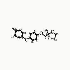 CC(C)C1(COc2ccc(Oc3ccc(F)cc3)cc2)OCCO1